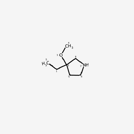 CCC1(OC)CCNC1